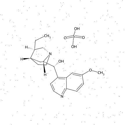 CC[C@H]1C[N@]2CC[C@H]1C[C@H]2[C@H](O)c1ccnc2ccc(OC)cc12.O=S(=O)(O)O